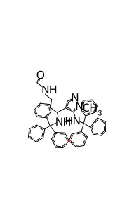 Cn1ncc(C(CCCNC=O)NC(c2ccccc2)(c2ccccc2)c2ccccc2)c1NC(c1ccccc1)(c1ccccc1)c1ccccc1